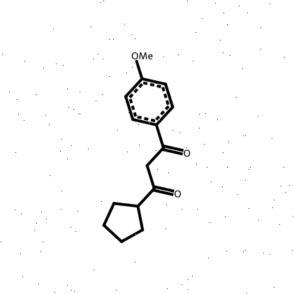 COc1ccc(C(=O)CC(=O)C2CCCC2)cc1